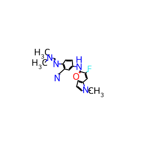 CN(C)C=Nc1ccc(NC(=O)/C(F)=C\c2cccn2C)cc1C#N